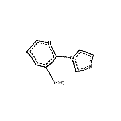 CCCCCc1cccnc1-n1ccnc1